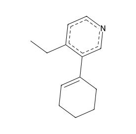 CCc1ccncc1C1=CCCCC1